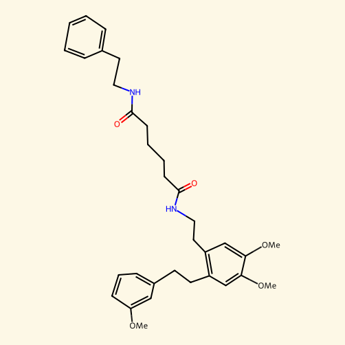 COc1cccc(CCc2cc(OC)c(OC)cc2CCNC(=O)CCCCC(=O)NCCc2ccccc2)c1